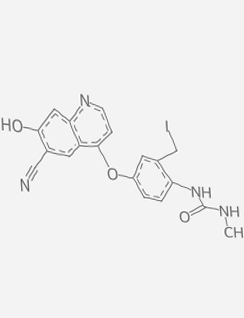 CNC(=O)Nc1ccc(Oc2ccnc3cc(O)c(C#N)cc23)cc1CI